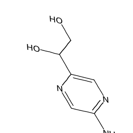 Nc1cnc(C(O)CO)cn1